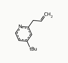 C=CCc1cc(C(C)(C)C)ccn1